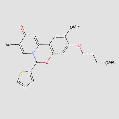 COCCCOc1cc2c(cc1OC)-c1cc(=O)c(C(C)=O)cn1C(c1cccs1)O2